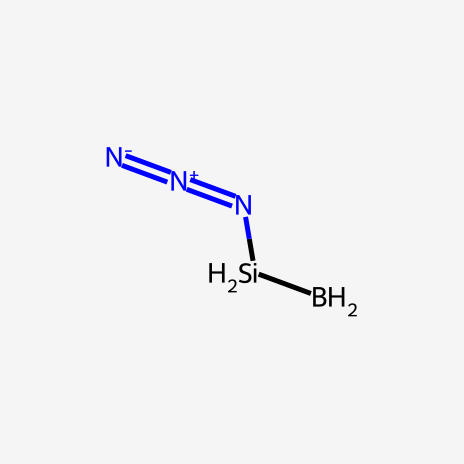 B[SiH2]N=[N+]=[N-]